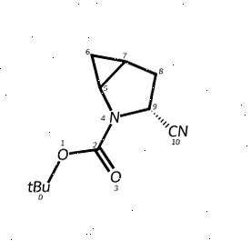 CC(C)(C)OC(=O)N1C2CC2C[C@@H]1C#N